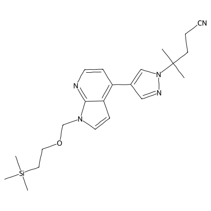 CC(C)(CCC#N)n1cc(-c2ccnc3c2ccn3COCC[Si](C)(C)C)cn1